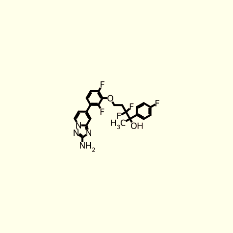 CC(O)(c1ccc(F)cc1)C(F)(F)CCOc1c(F)ccc(-c2ccn3nc(N)nc3c2)c1F